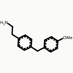 COc1ccc(Cc2ccc(CCN)cc2)cc1